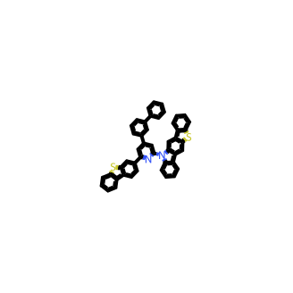 c1ccc(-c2cccc(-c3cc(-c4ccc5c(c4)sc4ccccc45)nc(-n4c5ccccc5c5cc6sc7ccccc7c6cc54)c3)c2)cc1